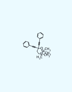 C[Si]1(C)CCC(C#Cc2ccccc2)(C#Cc2ccccc2)O[Si]1(C)C